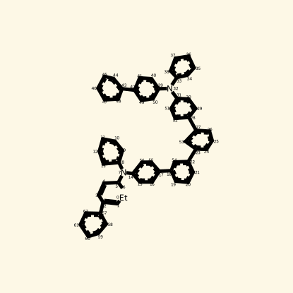 CC/C=C(\C=C/C(C)N(c1ccccc1)c1ccc(-c2cccc(-c3cccc(-c4ccc(N(c5ccccc5)c5ccc(-c6ccccc6)cc5)cc4)c3)c2)cc1)c1ccccc1